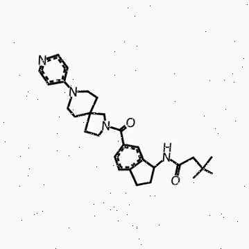 CC(C)(C)CC(=O)NC1CCc2ccc(C(=O)N3CCC4(CCN(c5ccncc5)CC4)C3)cc21